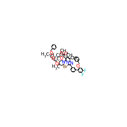 COC(=O)[C@@H](OC(C)(C)C)c1c(C)c(C)c2nc(-c3cccc(-c4cc(F)c(F)cc4OCc4ccccc4)c3)c(Br)n2c1N1CCC(C)(OCCOC[C@@H](C)OCc2ccccc2)CC1